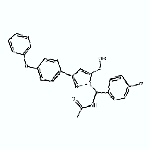 CC(=O)NC(c1ccc(Cl)cc1)n1nc(-c2ccc(Oc3ccccc3)cc2)cc1CO